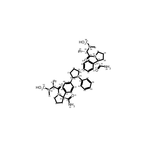 CC(C)[C@@H](C(=O)N1CCC[C@@]1(C(N)=O)c1ccc([C@H]2CC[C@H](c3ccc([C@]4(C(N)=O)CCCN4C(=O)[C@H](C(C)C)N(C)C(=O)O)cc3)N2c2ccccc2)cc1)N(C)C(=O)O